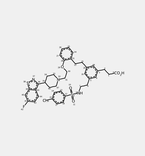 O=C(O)CCc1cc(CCNS(=O)(=O)c2ccc(Cl)cc2)cc(CCc2ccccc2OCCN2CCC(c3nsc4cc(F)ccc34)CC2)c1